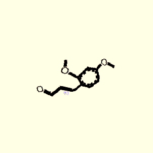 COc1ccc(/C=C/C=O)c(OC)c1